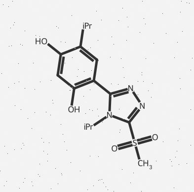 CC(C)c1cc(-c2nnc(S(C)(=O)=O)n2C(C)C)c(O)cc1O